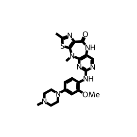 COc1cc(N2CCN(C)CC2)ccc1Nc1ncc2c(n1)N(C)c1sc(C)nc1C(=O)N2